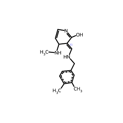 CNC1C=CN=C(O)/C1=C/NCc1ccc(C)c(C)c1